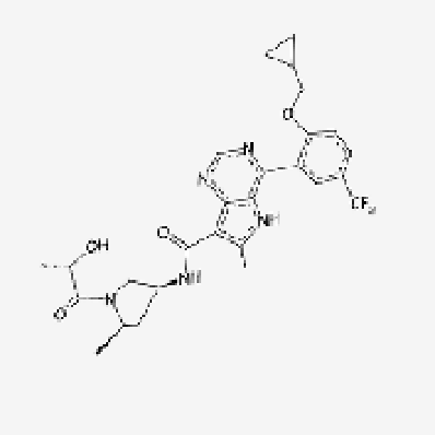 Cc1[nH]c2c(-c3cc(C(F)(F)F)ccc3OCC3CC3)ncnc2c1C(=O)N[C@H]1C[C@@H](C)N(C(=O)[C@H](C)O)C1